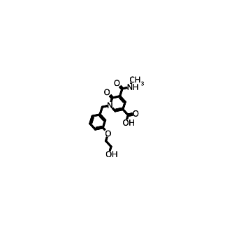 CNC(=O)c1cc(C(=O)O)cn(Cc2cccc(OCCO)c2)c1=O